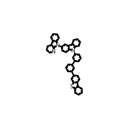 c1cc(-c2cccc(-n3c4ccccc4c4cc(-n5c6ccccc6c6cccnc65)ccc43)c2)cc(-c2ccc3c(c2)sc2ccccc23)c1